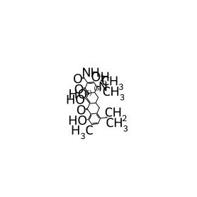 C=C(C)c1cc(C)c(O)c2c1CC1CC3[C@H](N(C)C)C(O)=C(C(N)=O)C(=O)[C@@]3(O)C(O)=C1C2=O